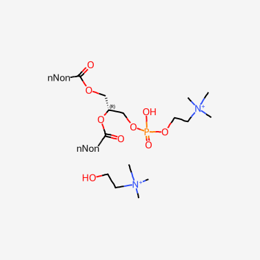 CCCCCCCCCC(=O)OC[C@H](COP(=O)(O)OCC[N+](C)(C)C)OC(=O)CCCCCCCCC.C[N+](C)(C)CCO